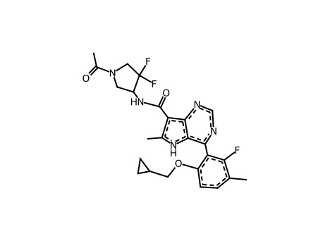 CC(=O)N1CC(NC(=O)c2c(C)[nH]c3c(-c4c(OCC5CC5)ccc(C)c4F)ncnc23)C(F)(F)C1